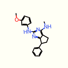 CNc1nc(Nc2cccc(OC)c2)nc2c1CCC2c1ccccc1